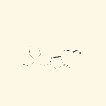 C#CCC1=CC(O[Si](CC)(CC)CC)CC1=O